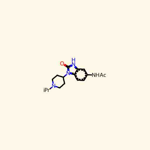 CC(=O)Nc1ccc2c(c1)[nH]c(=O)n2C1CCN(C(C)C)CC1